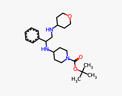 CC(C)(C)OC(=O)N1CCC(NC(CNC2CCOCC2)c2ccccc2)CC1